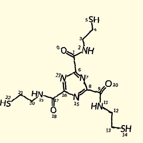 O=C(NCCS)c1nc(C(=O)NCCS)nc(C(=O)NCCS)n1